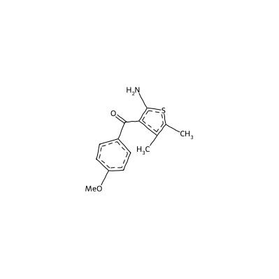 COc1ccc(C(=O)c2c(N)sc(C)c2C)cc1